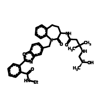 CCNC(=O)c1ccccc1-c1nc2cc(CN3C(=O)C(NC(=O)CC(C)(C)NC[C@@H](C)O)CCc4ccccc43)ccc2o1